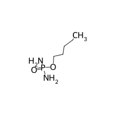 CCCCCOP(N)(N)=O